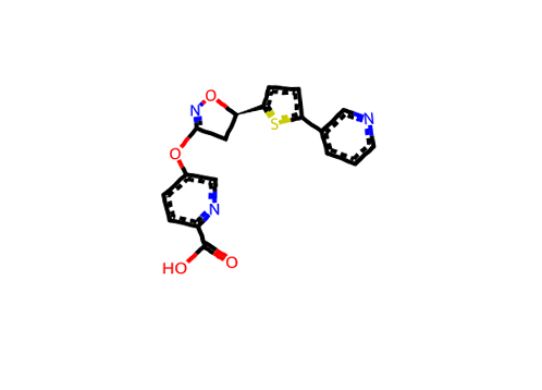 O=C(O)c1ccc(OC2=NO[C@@H](c3ccc(-c4cccnc4)s3)C2)cn1